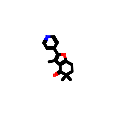 Cc1c(-c2ccncc2)oc2c1C(=O)C(C)(C)CC2